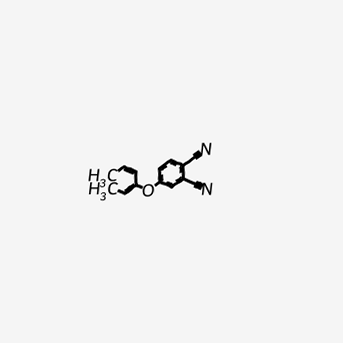 C/C=C\C(=C/C)Oc1ccc(C#N)c(C#N)c1